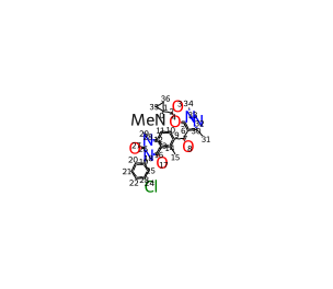 CNC1(C(=O)Oc2c(C(=O)c3ccc4c(c3C)c(=O)n(-c3cccc(Cl)c3)c(=O)n4C)c(C)nn2C)CC1